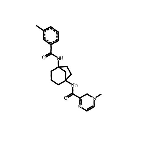 Cc1cccc(C(=O)NC23CCCC(NC(=O)C4=NC=CN(C)C4)(CC2)C3)c1